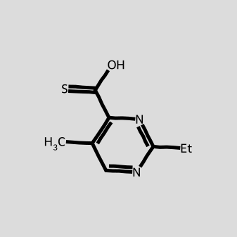 CCc1ncc(C)c(C(O)=S)n1